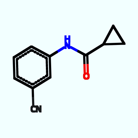 N#Cc1cccc(NC(=O)C2CC2)c1